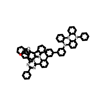 c1ccc(-c2nc(-c3ccccc3)nc(-c3cccc(-c4cccc(-c5cccc(N6c7ccccc7B7c8ccccc8N(c8ccccc8)c8cccc6c87)c5)c4)c3-n3c4ccccc4c4c5oc6ccccc6c5ccc43)n2)cc1